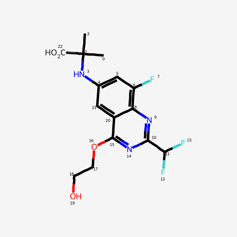 CC(C)(Nc1cc(F)c2nc(C(F)F)nc(OCCO)c2c1)C(=O)O